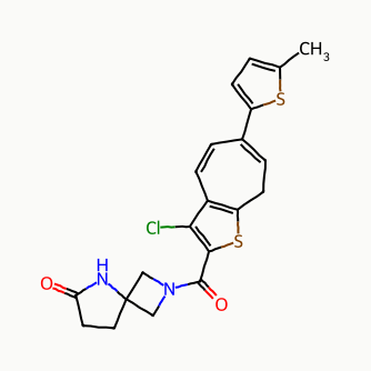 Cc1ccc(C2=CCc3sc(C(=O)N4CC5(CCC(=O)N5)C4)c(Cl)c3C=C2)s1